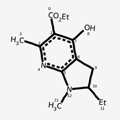 CCOC(=O)c1c(C)nc2c(c1O)CC(CC)N2C